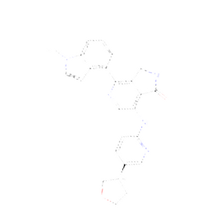 Cn1ccc2c(-c3ncc(Nc4ccc([C@H]5CCOC5)cn4)c4c3CNC4=O)cccc21